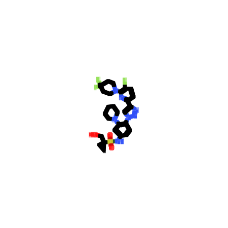 O=S(=O)(Nc1ccc(-n2cc(-c3ccc(F)c(N4CCC(F)(F)CC4)n3)nn2)c(N2CCCCC2)c1)C1(CO)CC1